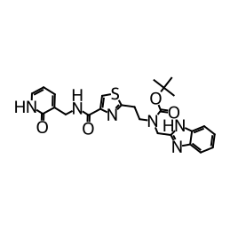 CC(C)(C)OC(=O)N(CCc1nc(C(=O)NCc2ccc[nH]c2=O)cs1)Cc1nc2ccccc2[nH]1